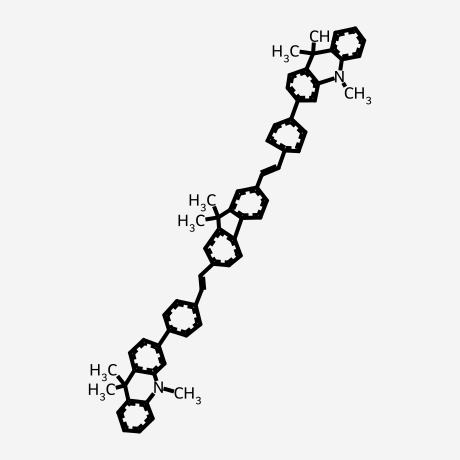 CN1c2ccccc2C(C)(C)c2ccc(-c3ccc(/C=C/c4ccc5c(c4)C(C)(C)c4cc(/C=C/c6ccc(-c7ccc8c(c7)N(C)c7ccccc7C8(C)C)cc6)ccc4-5)cc3)cc21